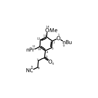 CCCCOc1cc(C(=O)CCC#N)c(CCC)cc1OC